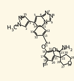 Cn1cc(-c2cc3nncn3c3cc(COc4cc(F)cc(C5(C(N)=O)CCOCC5)c4)ccc23)cn1